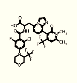 Cc1cc(C(F)(F)F)c(-c2ccc(CC(NC(=O)c3c(F)cc(N4CCOCC4C(F)(F)F)cc3Cl)C(=O)O)n3ccnc23)c(=O)n1C